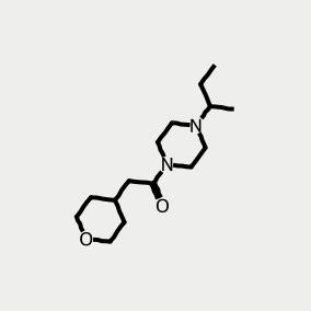 CCC(C)N1CCN(C(=O)CC2CCOCC2)CC1